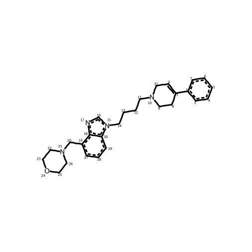 C1=C(c2ccccc2)CCN(CCCCn2cnc3c(CN4CCOCC4)cccc32)C1